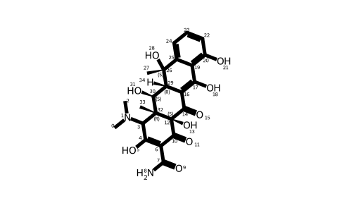 CN(C)C1C(O)=C(C(N)=O)C(=O)[C@@]2(O)C(=O)C3=C(O)c4c(O)cccc4[C@@](C)(O)[C@H]3[C@H](O)[C@@]12C